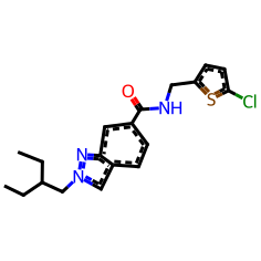 CCC(CC)Cn1cc2ccc(C(=O)NCc3ccc(Cl)s3)cc2n1